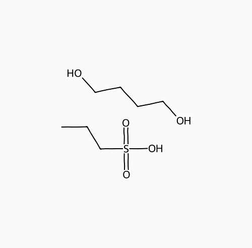 CCCS(=O)(=O)O.OCCCCO